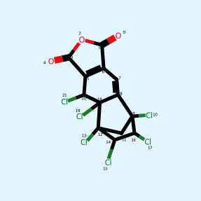 O=C1OC(=O)C2=C1C=C1C3(Cl)CC(Cl)(C(Cl)C3Cl)C1(Cl)C2Cl